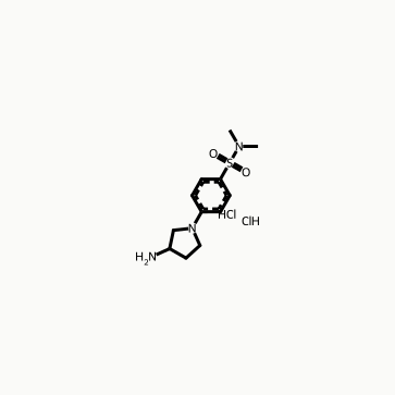 CN(C)S(=O)(=O)c1ccc(N2CCC(N)C2)cc1.Cl.Cl